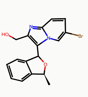 C[C@@H]1OC(c2c(CO)nc3ccc(Br)cn23)c2ccccc21